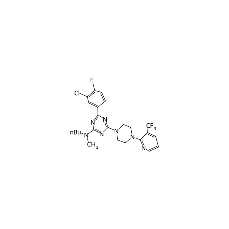 CCCCN(C)c1nc(-c2ccc(F)c(Cl)c2)nc(N2CCN(c3ncccc3C(F)(F)F)CC2)n1